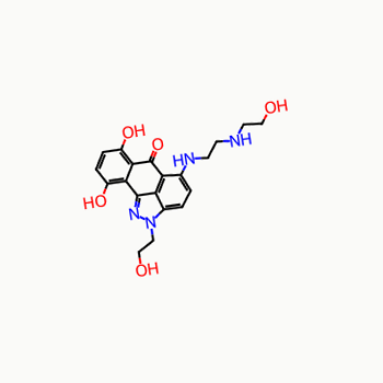 O=C1c2c(O)ccc(O)c2-c2nn(CCO)c3ccc(NCCNCCO)c1c23